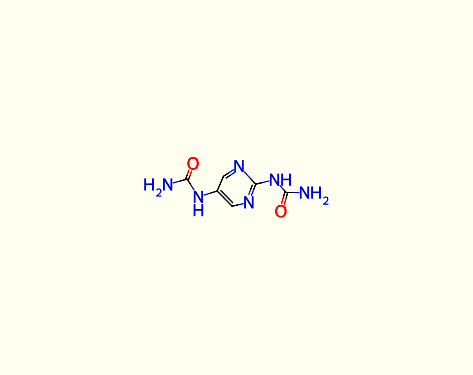 NC(=O)Nc1cnc(NC(N)=O)nc1